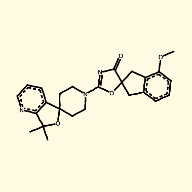 COc1cccc2c1CC1(C2)OC(N2CCC3(CC2)OC(C)(C)c2ncccc23)=NC1=O